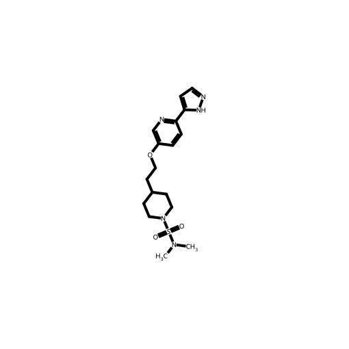 CN(C)S(=O)(=O)N1CCC(CCOc2ccc(-c3ccn[nH]3)nc2)CC1